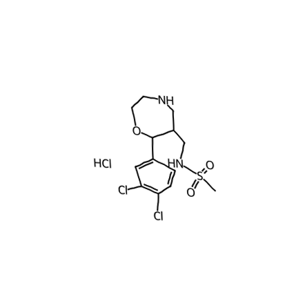 CS(=O)(=O)NCC1CNCCOC1c1ccc(Cl)c(Cl)c1.Cl